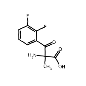 CC(N)(C(=O)O)C(=O)c1cccc(F)c1F